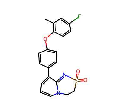 Cc1cc(F)ccc1Oc1ccc(C2=CC=CN3CCS(=O)(=O)N=C23)cc1